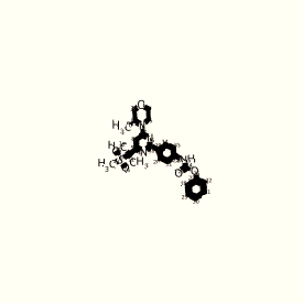 C[C@H]1COCCN1c1cc(C(C)(C)S(C)(=O)=O)nc(-c2ccc(NC(=O)Oc3ccccc3)cc2)n1